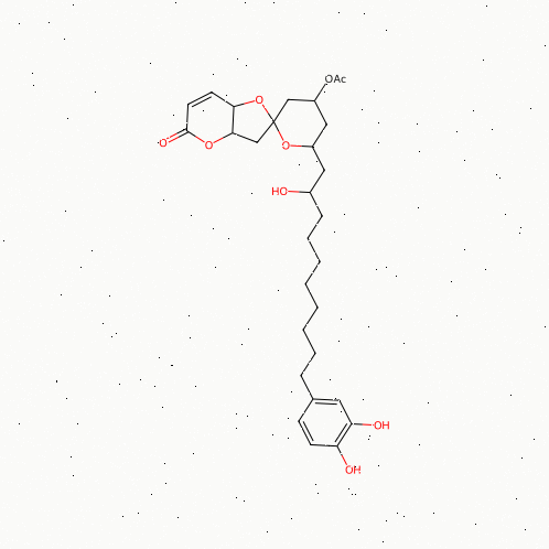 CC(=O)OC1CC(CC(O)CCCCCCCCc2ccc(O)c(O)c2)OC2(C1)CC1OC(=O)C=CC1O2